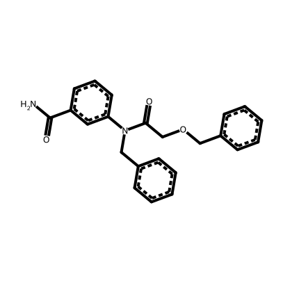 NC(=O)c1cccc(N(Cc2ccccc2)C(=O)COCc2ccccc2)c1